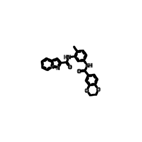 Cc1ccc(NC(=O)c2ccc3c(c2)OCCO3)cc1NC(=O)c1cc2ccccn2n1